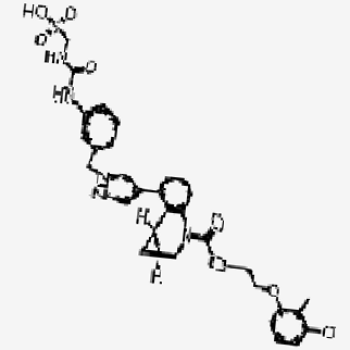 Cc1c(Cl)cccc1OCCOC(=O)N1C[C@@H]2C[C@@H]2c2c(-c3cnn(Cc4cccc(NC(=O)NCS(=O)(=O)O)c4)c3)cccc21